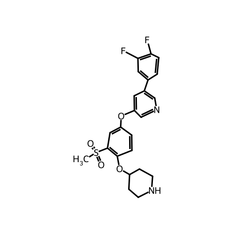 CS(=O)(=O)c1cc(Oc2cncc(-c3ccc(F)c(F)c3)c2)ccc1OC1CCNCC1